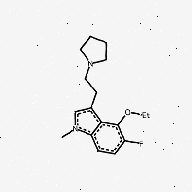 CCOc1c(F)ccc2c1c(CCN1CCCC1)cn2C